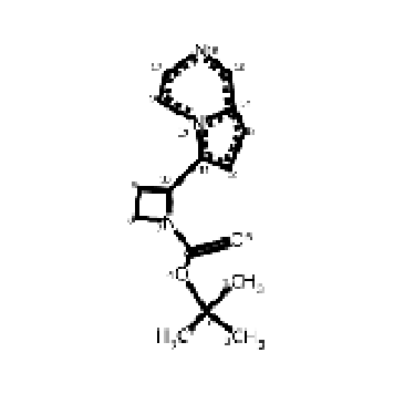 CC(C)(C)OC(=O)N1CCC1c1ccc2cnccn12